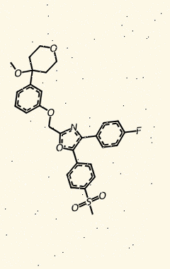 COC1(c2cccc(OCc3nc(-c4ccc(F)cc4)c(-c4ccc(S(C)(=O)=O)cc4)o3)c2)CCOCC1